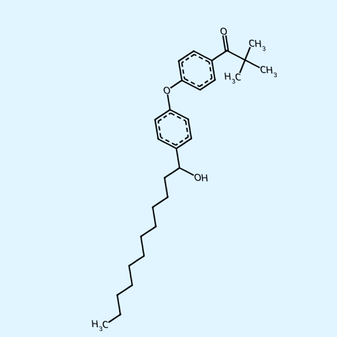 CCCCCCCCCCCC(O)c1ccc(Oc2ccc(C(=O)C(C)(C)C)cc2)cc1